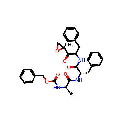 CC(C)[C@@H](NC(=O)OCc1ccccc1)C(=O)N[C@@H](Cc1ccccc1)C(=O)NC(Cc1ccccc1)C(=O)C1(C)CO1